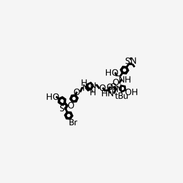 Cc1ncsc1-c1ccc([C@H](CO)NC(=O)[C@@H]2C[C@@H](O)CN2C(=O)[C@@H](NC(=O)COCCN2C[C@@H]3C[C@H]2CN3CCOc2ccc(Oc3c(-c4ccc(Br)cc4)sc4cc(O)ccc34)cc2)C(C)(C)C)cc1